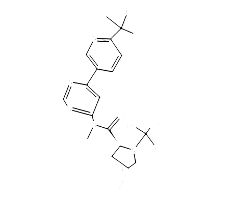 CN(C(=O)[C@@H]1C[C@@H](F)CN1C(C)(C)C)c1cc(-c2ccc(C(F)(F)F)nc2)ncn1